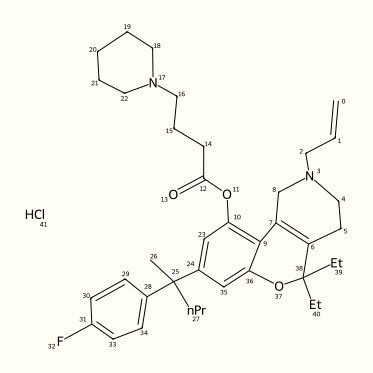 C=CCN1CCC2=C(C1)c1c(OC(=O)CCCN3CCCCC3)cc(C(C)(CCC)c3ccc(F)cc3)cc1OC2(CC)CC.Cl